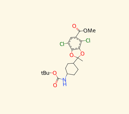 COC(=O)c1cc(Cl)c2c(c1Cl)OC(C)(C1CCC(NC(=O)OC(C)(C)C)CC1)O2